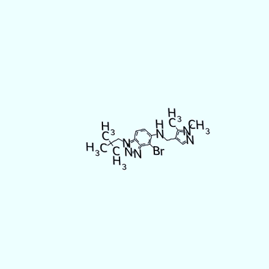 Cc1c(CNc2ccc3c(nnn3CC(C)(C)C)c2Br)cnn1C